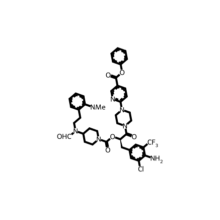 CNc1ccccc1CCN(C=O)C1CCN(C(=O)O[C@H](Cc2cc(Cl)c(N)c(C(F)(F)F)c2)C(=O)N2CCN(c3ccc(C(=O)Oc4ccccc4)cn3)CC2)CC1